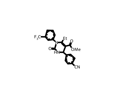 CCC1=C(C(=O)OC)C(c2ccc(C#N)cc2)NC(=O)N1c1cccc(C(F)(F)F)c1